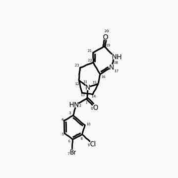 O=C(Nc1ccc(Br)c(Cl)c1)N1C2CCC1c1n[nH]c(=O)cc1C2